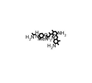 CNC(CC(C)C1OC(CC2C(N)CC(N)C(C)C2C)C(N)CC1C)OC1CCC(NCC(C)N)C(C)C1